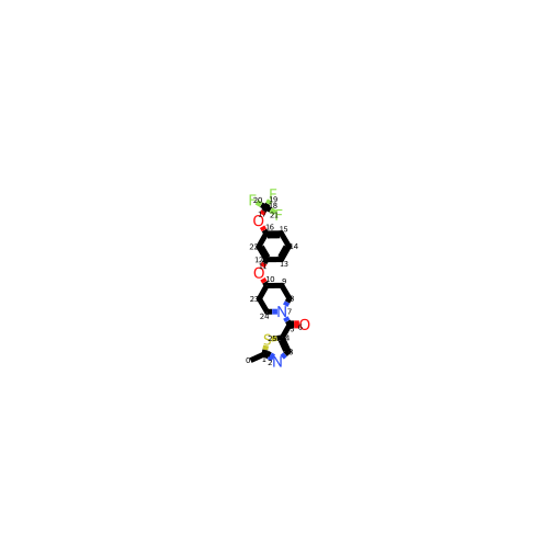 Cc1ncc(C(=O)N2CCC(Oc3cccc(OC(F)(F)F)c3)CC2)s1